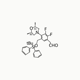 C[C@@H]1CN(c2c(CO[Si](c3ccccc3)(c3ccccc3)C(C)(C)C)cc(CC=O)c(F)c2F)C[C@H](C)O1